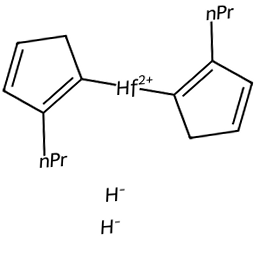 CCCC1=[C]([Hf+2][C]2=C(CCC)C=CC2)CC=C1.[H-].[H-]